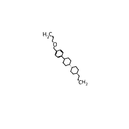 C=CCOCc1ccc(C2CCC([C@H]3CC[C@H](CC=C)CC3)CC2)cc1